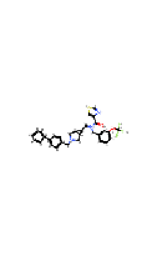 O=C(c1cscn1)N(Cc1cccc(OC(F)(F)F)c1)CC1C2CN(Cc3ccc(-c4ccccc4)cc3)CC21